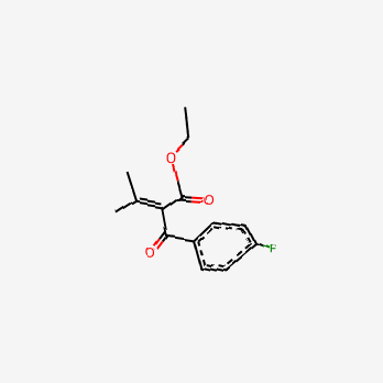 CCOC(=O)C(C(=O)c1ccc(F)cc1)=C(C)C